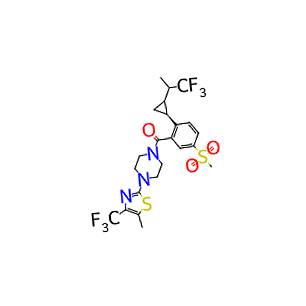 Cc1sc(N2CCN(C(=O)c3cc(S(C)(=O)=O)ccc3[C@H]3CC3C(C)C(F)(F)F)CC2)nc1C(F)(F)F